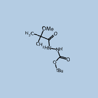 COC(C)(C)C(=O)NNC(=O)OC(C)(C)C